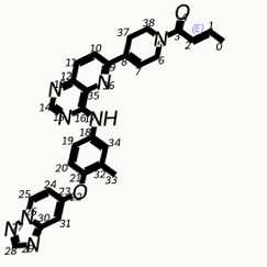 C/C=C/C(=O)N1CC=C(c2ccc3ncnc(Nc4ccc(Oc5ccn6ncnc6c5)c(C)c4)c3n2)CC1